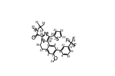 COc1cc2c(cc1-c1cccc(C(F)(F)F)c1)-c1c(-c3cccs3)nc(C(=O)N(C)C(C)(C)C)n1CC2